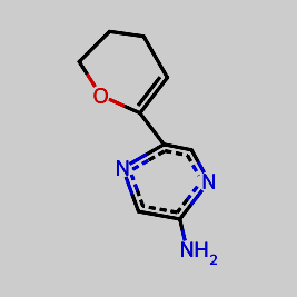 Nc1cnc(C2=CCCCO2)cn1